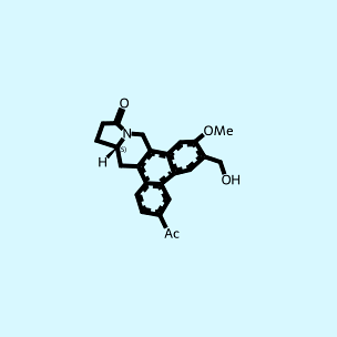 COc1cc2c3c(c4ccc(C(C)=O)cc4c2cc1CO)C[C@@H]1CCC(=O)N1C3